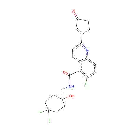 O=C1C=C(c2ccc3c(C(=O)NCC4(O)CCC(F)(F)CC4)c(Cl)ccc3n2)CC1